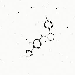 COc1cc(C(=O)N2CCCC2c2ccc(C)cc2)ccc1-c1cn[nH]c1